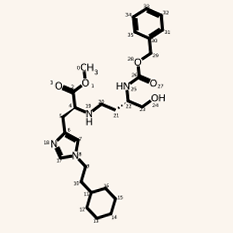 COC(=O)[C@H](Cc1cn(CCC2CCCCC2)cn1)NCC[C@@H](CO)NC(=O)OCc1ccccc1